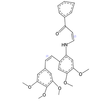 COc1cc(/C=C\c2cc(OC)c(OC)c(OC)c2)c(N/C=C\C(=O)c2ccccc2)cc1OC